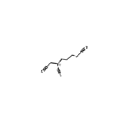 N#CCCCC[C@@H](C#N)CC#N